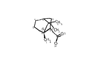 CC1(C)C2CC[C@@]1(C)C(C([O])=O)C2